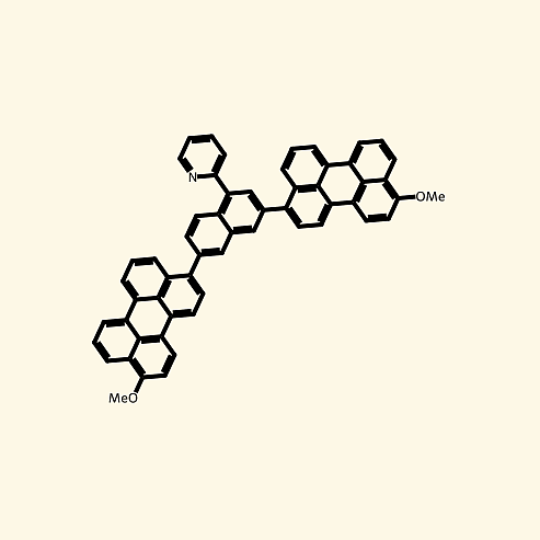 COc1ccc2c3ccc(-c4ccc5c(-c6ccccn6)cc(-c6ccc7c8ccc(OC)c9cccc(c%10cccc6c%107)c98)cc5c4)c4cccc(c5cccc1c52)c43